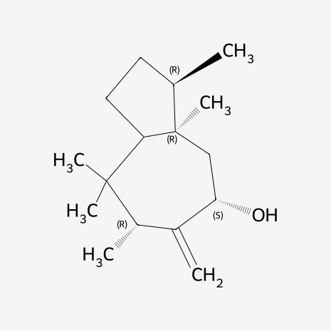 C=C1[C@@H](O)C[C@@]2(C)C(CC[C@H]2C)C(C)(C)[C@H]1C